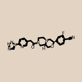 N#Cc1ccc([C@@H]2CN3CCN(C(=O)Cc4ccc(-n5cnnn5)nc4)C[C@H]3CO2)cc1F